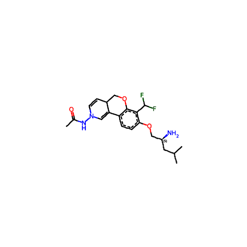 CC(=O)NN1C=CC2COc3c(ccc(OC[C@@H](N)CC(C)C)c3C(F)F)C2=C1